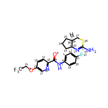 NC1=N[C@@]2(c3cc(NC(=O)c4ccc(OCC(F)(F)F)cn4)ccc3F)CCC[C@H]2CS1